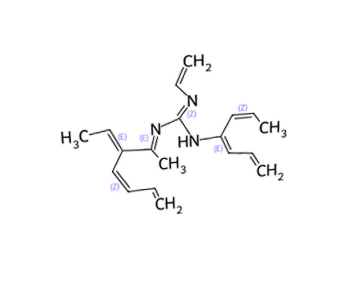 C=C\C=C/C(=C\C)C(/C)=N/C(=N\C=C)NC(/C=C\C)=C/C=C